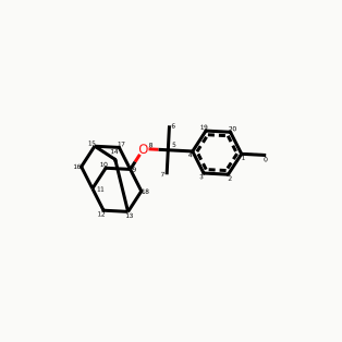 Cc1ccc(C(C)(C)OC23CC4CC(CC(C4)C2)C3)cc1